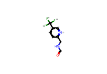 O=CNCc1ccc(C(F)(F)F)cn1